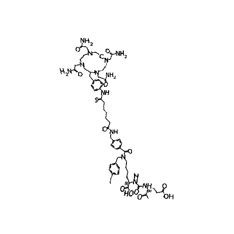 CC(=O)[C@@H](CCC(=O)O)NC(=O)N[C@H](CCCCN(Cc1ccc(I)cc1)C(=O)c1ccc(CNC(=O)CCCCCC(=S)Nc2ccc(CC3CN(CC(N)=O)CCN(CC(N)=O)CCN(CC(N)=O)CCN3CC(N)=O)cc2)cc1)C(=O)O